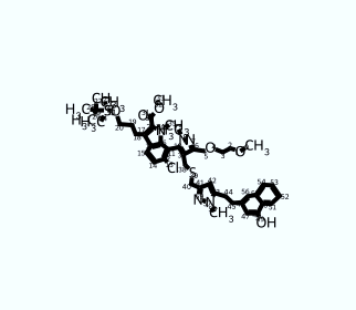 COCCOCc1nn(C)c(-c2c(Cl)ccc3c(CCCO[Si](C)(C)C(C)(C)C)c(C(=O)OC)n(C)c23)c1CSCc1cc(CCc2cc(O)c3ccccc3c2)n(C)n1